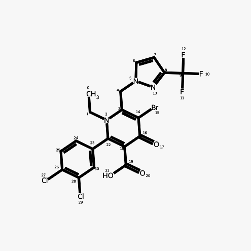 CCn1c(Cn2ccc(C(F)(F)F)n2)c(Br)c(=O)c(C(=O)O)c1-c1ccc(Cl)c(Cl)c1